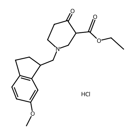 CCOC(=O)C1CN(CC2CCc3ccc(OC)cc32)CCC1=O.Cl